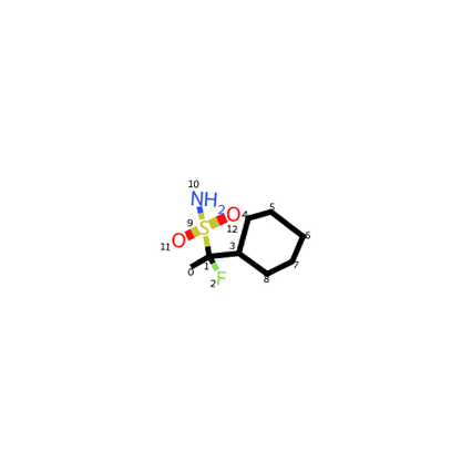 CC(F)(C1CCCCC1)S(N)(=O)=O